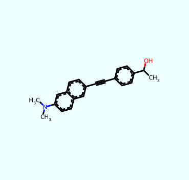 CC(O)c1ccc(C#Cc2ccc3cc(N(C)C)ccc3c2)cc1